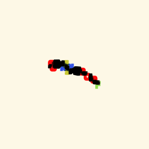 FCCOCCOCCOc1ccc(-c2csc(-c3nc(-c4ccc5c(c4)OCO5)cs3)n2)cc1